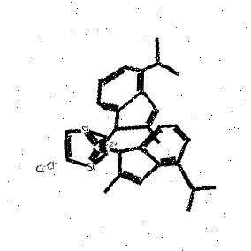 CC1=Cc2c(C(C)C)cccc2[CH]1[Zr+2]1([CH]2C(C)=Cc3c(C(C)C)cccc32)=[Si]2C=C[Si]=1C=C2.[Cl-].[Cl-]